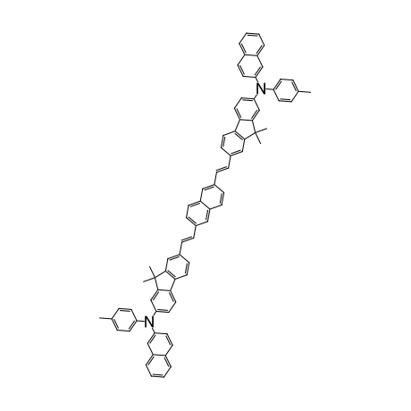 Cc1ccc(N(c2ccc3c(c2)C(C)(C)c2cc(/C=C/c4ccc5cc(/C=C/c6ccc7c(c6)C(C)(C)c6cc(N(c8ccc(C)cc8)c8ccc9ccccc9c8)ccc6-7)ccc5c4)ccc2-3)c2ccc3ccccc3c2)cc1